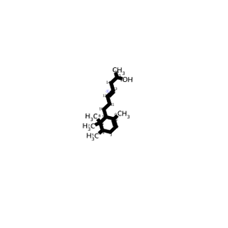 CC1=CCC(C)C(C)(C)C1CC/C=C/CC(C)O